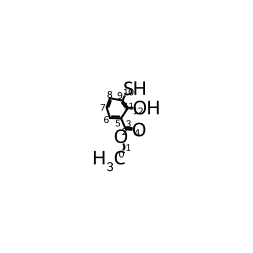 CCOC(=O)c1cccc(S)c1O